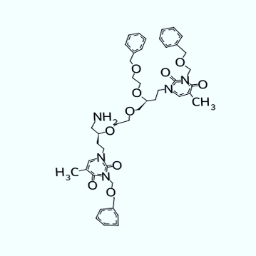 Cc1cn(CC[C@@H](CN)OCCOC[C@H](CCn2cc(C)c(=O)n(COCc3ccccc3)c2=O)OCCOCc2ccccc2)c(=O)n(COCc2ccccc2)c1=O